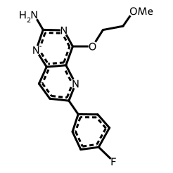 COCCOc1nc(N)nc2ccc(-c3ccc(F)cc3)nc12